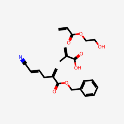 C=C(C)C(=O)O.C=C(CC=CC#N)C(=O)OCc1ccccc1.C=CC(=O)OCCO